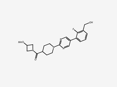 COC1CN(C(=O)C2CCN(c3ncc(-c4cccc(CO)c4F)cn3)CC2)C1